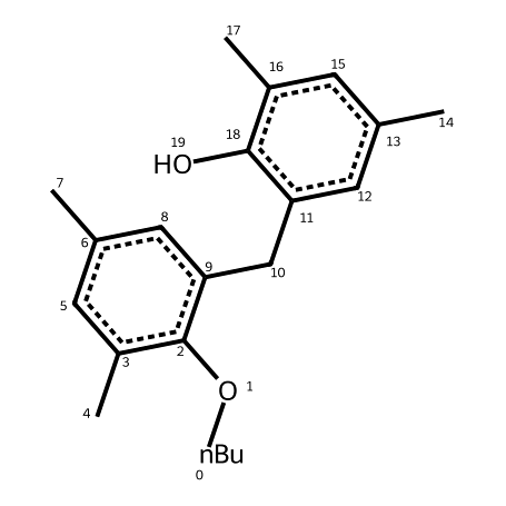 CCCCOc1c(C)cc(C)cc1Cc1cc(C)cc(C)c1O